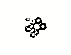 Cl.Cl.c1ccc(C2CN3CCSC3=N2)cc1.c1ccc(C2CN3CCSC3=N2)cc1